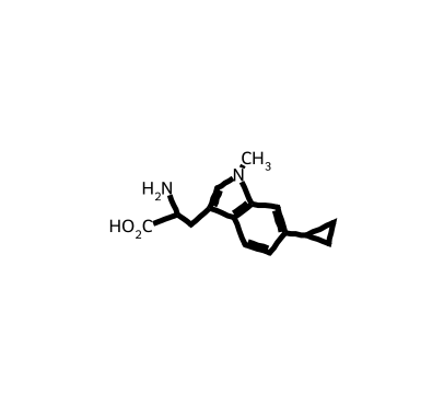 Cn1cc(CC(N)C(=O)O)c2ccc(C3CC3)cc21